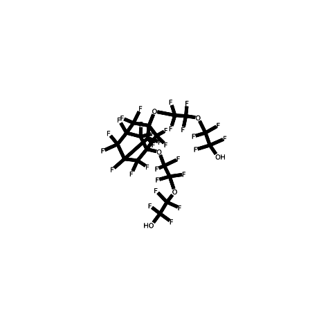 OC(F)(F)C(F)(F)OC(F)(F)C(F)(F)OC12C(F)(F)C3(F)C(F)(F)C(F)(C1(F)F)C(F)(F)C(OC(F)(F)C(F)(F)OC(F)(F)C(O)(F)F)(C3(F)F)C2(F)F